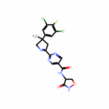 O=C(NC1CONC1=O)c1cnc(C2=NCC(c3cc(Cl)c(F)c(Cl)c3)(C(F)(F)F)C2)nc1